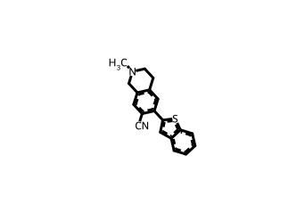 CN1CCc2cc(-c3cc4ccccc4s3)c(C#N)cc2C1